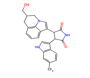 O=C1NC(=O)C(c2cn3c4c(cccc24)CC(CO)C3)C1c1c[nH]c2cc(C(F)(F)F)ccc12